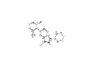 Oc1cccc(F)c1-c1cc2c(I)nn(C3CCCCO3)c2cn1